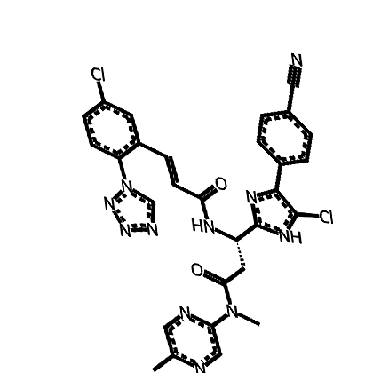 Cc1cnc(N(C)C(=O)C[C@H](NC(=O)/C=C/c2cc(Cl)ccc2-n2cnnn2)c2nc(-c3ccc(C#N)cc3)c(Cl)[nH]2)cn1